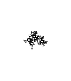 COc1cccc(C2(C(=O)NCCC3(c4ccc(Cl)c(Cl)c4)CCN(C(=O)c4cc(OC)c(OC)c(OC)c4)C3)CCNCC2)c1.Cl